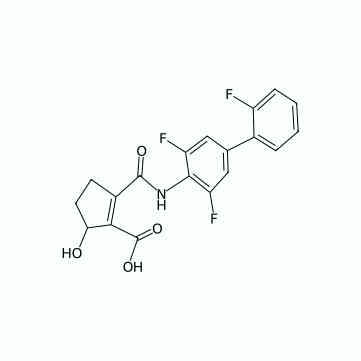 O=C(O)C1=C(C(=O)Nc2c(F)cc(-c3ccccc3F)cc2F)CCC1O